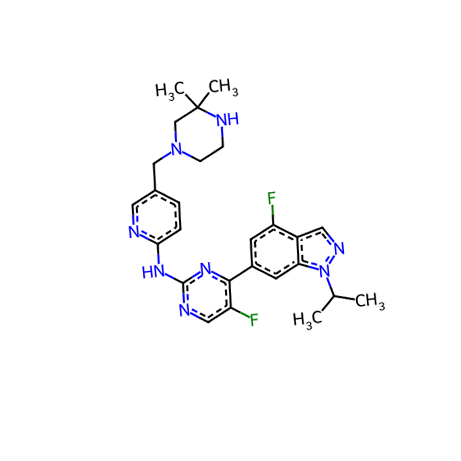 CC(C)n1ncc2c(F)cc(-c3nc(Nc4ccc(CN5CCNC(C)(C)C5)cn4)ncc3F)cc21